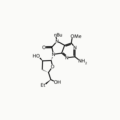 CCCCn1c(=O)n([C@@H]2O[C@H]([C@@H](O)CC)C[C@H]2O)c2nc(N)nc(OC)c21